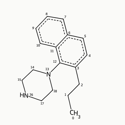 CCCc1ccc2ccccc2c1N1CCNCC1